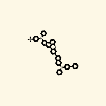 C[Si](C)(C)c1ccc(N(c2ccccc2)c2ccc3cc4c5c(cccc5c3c2)Sc2cc(-c3ccc5cc(N(c6ccccc6)c6ccc(-c7ccccc7)cc6)ccc5c3)ccc2-4)cc1